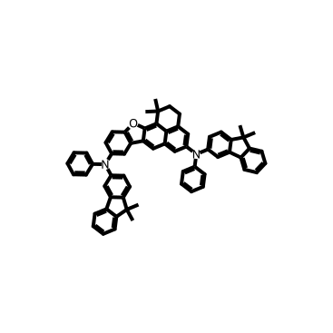 CC1(C)CCc2cc(N(c3ccccc3)c3ccc4c(c3)-c3ccccc3C4(C)C)cc3cc4c(oc5ccc(N(c6ccccc6)c6ccc7c(c6)-c6ccccc6C7(C)C)cc54)c1c23